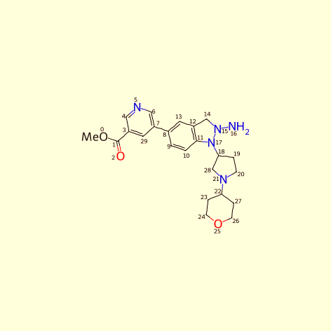 COC(=O)c1cncc(-c2ccc3c(c2)CN(N)N3C2CCN(C3CCOCC3)C2)c1